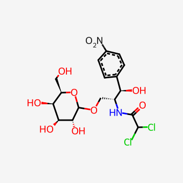 O=C(N[C@H](COC1O[C@H](CO)[C@H](O)[C@H](O)[C@H]1O)[C@H](O)c1ccc([N+](=O)[O-])cc1)C(Cl)Cl